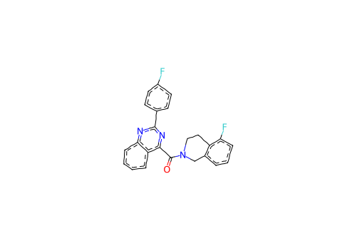 O=C(c1nc(-c2ccc(F)cc2)nc2ccccc12)N1CCc2c(F)cccc2C1